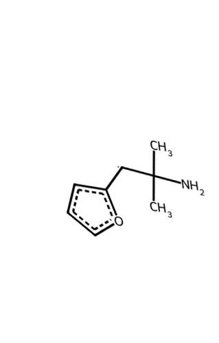 CC(C)(N)[CH]c1ccco1